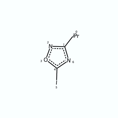 CC(C)c1noc(I)n1